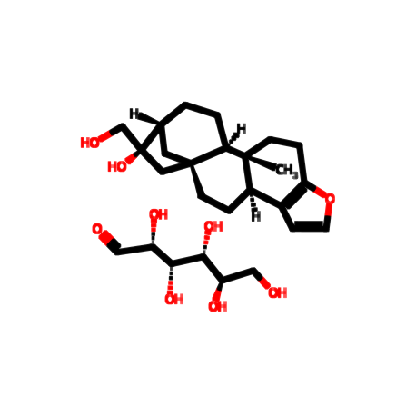 C[C@@]12CCc3occc3[C@H]1CC[C@@]13C[C@@H](CC[C@H]12)[C@@](O)(CO)C3.O=C[C@H](O)[C@@H](O)[C@H](O)[C@H](O)CO